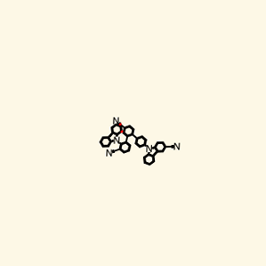 N#Cc1ccc(-c2ccc(-n3c4ccccc4c4cc(C#N)ccc43)cc2)c(-c2cccc(C#N)c2-n2c3ccccc3c3ccccc32)c1